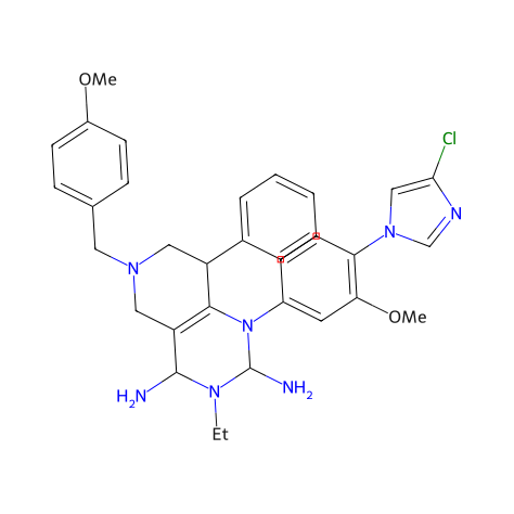 CCN1C(N)C2=C(C(c3ccccc3)CN(Cc3ccc(OC)cc3)C2)N(c2ccc(-n3cnc(Cl)c3)c(OC)c2)C1N